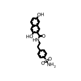 NS(=O)(=O)c1ccc(CCNC(=O)c2cc3cc(O)ccc3cc2O)cc1